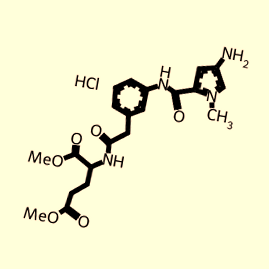 COC(=O)CCC(NC(=O)Cc1cccc(NC(=O)c2cc(N)cn2C)c1)C(=O)OC.Cl